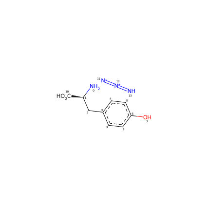 N[C@@H](Cc1ccc(O)cc1)C(=O)O.[N-]=[N+]=N